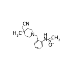 C[S+]([O-])Nc1ccccc1CN1CCC(C)(CC#N)CC1